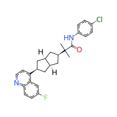 CC(C)(C(=O)Nc1ccc(Cl)cc1)[C@H]1C[C@H]2C[C@@H](c3ccnc4ccc(F)cc34)C[C@H]2C1